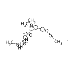 CCCCOCCOc1ccc(-c2ccc3c(c2)C=C(C(=O)Nc2ccc([S+]([O-])Cc4nncn4CCC)nc2)CCN3CC(C)C)cc1